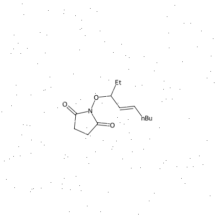 CCCC/C=C/C(CC)ON1C(=O)CCC1=O